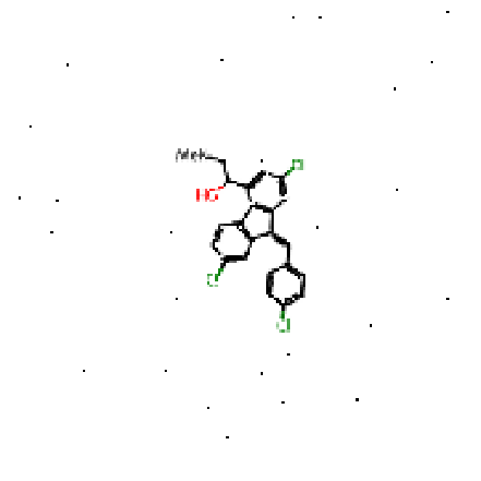 CNCC(O)c1cc(Cl)cc2c1-c1ccc(Cl)cc1C2=Cc1ccc(Cl)cc1